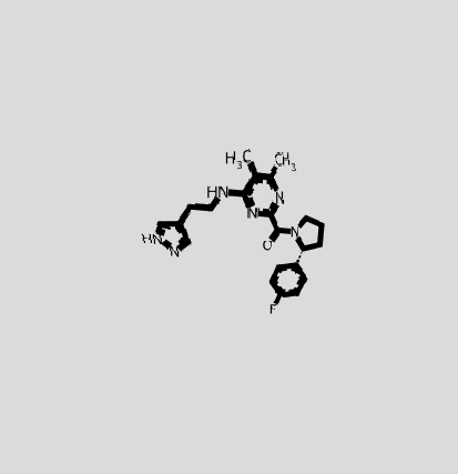 Cc1nc(C(=O)N2CCC[C@@H]2c2ccc(F)cc2)nc(NCCc2cn[nH]c2)c1C